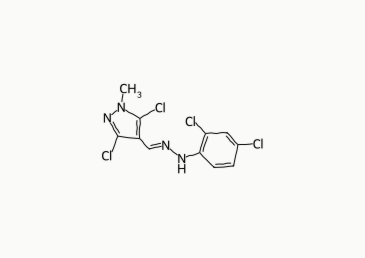 Cn1nc(Cl)c(C=NNc2ccc(Cl)cc2Cl)c1Cl